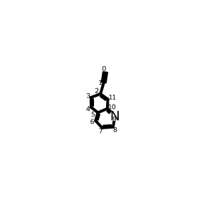 C#Cc1ccc2cccnc2c1